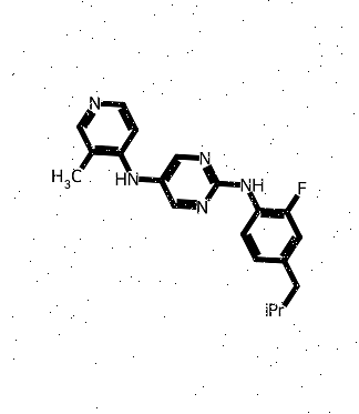 Cc1cnccc1Nc1cnc(Nc2ccc(CC(C)C)cc2F)nc1